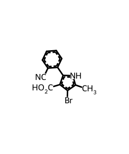 Cc1[nH]c(-c2ccccc2C#N)c(C(=O)O)c1Br